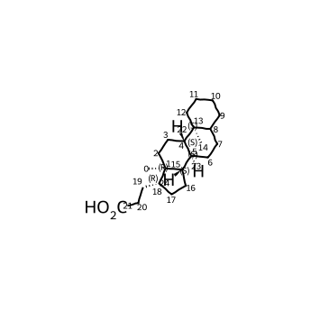 C[C@]12CC[C@H]3[C@@H](CCC4CCCC[C@@]43C)[C@@H]1CC[C@@H]2CCC(=O)O